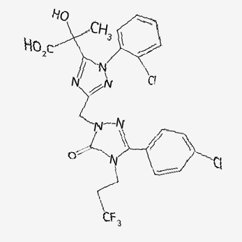 CC(O)(C(=O)O)c1nc(Cn2nc(-c3ccc(Cl)cc3)n(CCC(F)(F)F)c2=O)nn1-c1ccccc1Cl